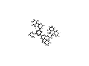 c1ccc(-c2nc(-c3cc(-c4ccc5c6ccccc6c6ccccc6c5c4)c4c(c3)sc3ccccc34)nc(-c3cccc4c3sc3ccccc34)n2)cc1